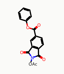 CC(=O)ON1C(=O)c2ccc(C(=O)Oc3ccccc3)cc2C1=O